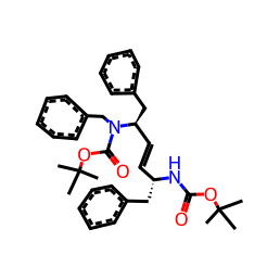 CC(C)(C)OC(=O)N[C@@H](/C=C/[C@H](Cc1ccccc1)N(Cc1ccccc1)C(=O)OC(C)(C)C)Cc1ccccc1